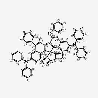 c1ccc(N(c2ccccc2)c2ccc3c4c(c5oc6ccccc6c5c3c2)-c2c(c3ccc(N(c5ccccc5)c5ccccc5)cc3c3c2oc2ccccc23)C42c3ccccc3-c3ccccc32)cc1